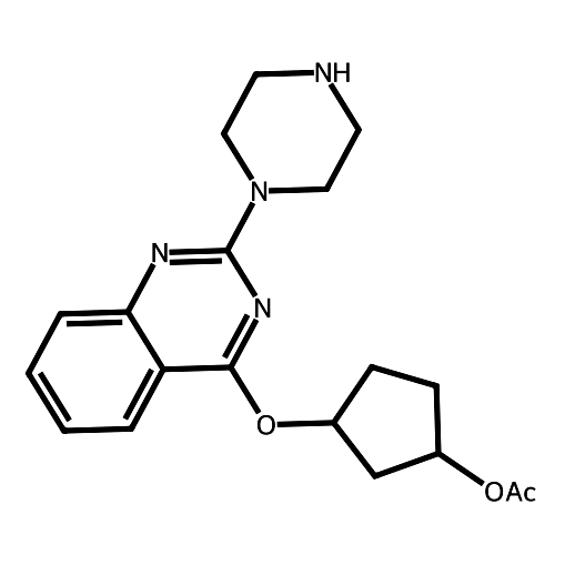 CC(=O)OC1CCC(Oc2nc(N3CCNCC3)nc3ccccc23)C1